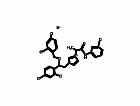 CC(C(=O)Nc1cccc(Cl)c1)[n+]1ccn(CC(OCc2ccc(Cl)cc2Cl)c2ccc(Cl)cc2Cl)c1.[Br-]